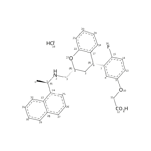 C[C@@H](NC[C@H]1C[C@@H](c2cc(OCC(=O)O)ccc2F)c2ccccc2O1)c1cccc2ccccc12.Cl